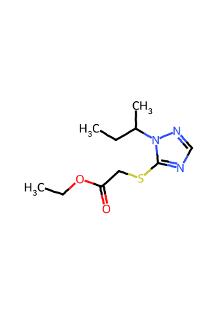 CCOC(=O)CSc1ncnn1C(C)CC